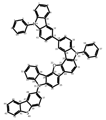 c1ccc(-n2c3ccccc3c3cc(-c4ccc5c(c4)c4c6oc7c(ccc8c7c7ccccc7n8-c7ccc8sc9ccccc9c8c7)c6ccc4n5-c4ccccc4)ccc32)cc1